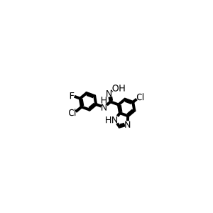 O/N=C(/Nc1ccc(F)c(Cl)c1)c1cc(Cl)cc2nc[nH]c12